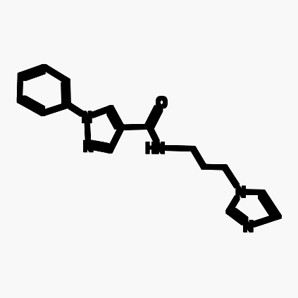 O=C(NCCCn1ccnc1)c1cnn(-c2ccccc2)c1